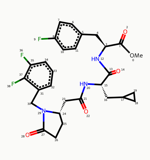 COC(=O)[C@H](Cc1ccc(F)cc1)NC(=O)[C@H](CC1CC1)NC(=O)C[C@@H]1CCC(=O)N1Cc1cccc(F)c1F